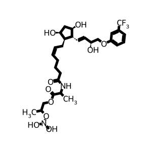 CC(COC(=O)C(C)NC(=O)CCC/C=C\C[C@@H]1[C@@H](/C=C/[C@@H](O)COc2cccc(C(F)(F)F)c2)[C@H](O)C[C@@H]1O)ON(O)O